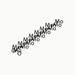 [O]=[Mo]([O-])/[Mo]=[Mo]/[Mo][Mo][Mo][Mo][Mo][Mo][Mo][Mo][Mo][Mo][Mo][Mo][Mo]